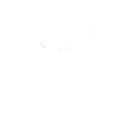 Oc1ccc2c(c1O)C(=Cc1ccnc3ccccc13)c1ccccc1-2